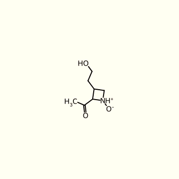 CC(=O)C1C(CCO)C[NH+]1[O-]